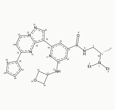 CCN(CC)[C@@H](C)CNC(=O)c1cc(NC2COC2)nc(-c2cnn3ccc(-c4cccs4)nc23)c1